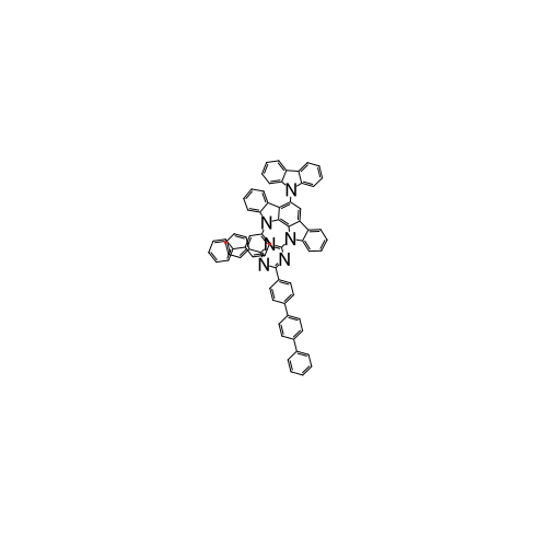 c1ccc(-c2ccc(-c3ccc(-c4nc(-c5ccccc5)nc(-n5c6ccccc6c6cc(-n7c8ccccc8c8ccccc87)c7c8ccccc8n(-c8cccc(-c9ccccc9)c8)c7c65)n4)cc3)cc2)cc1